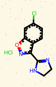 Cl.Clc1ccc2c(C3=NCCN3)noc2c1